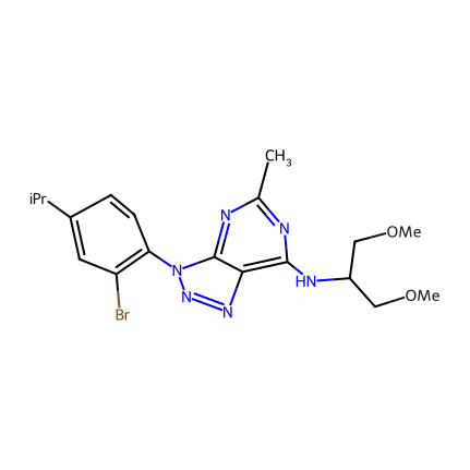 COCC(COC)Nc1nc(C)nc2c1nnn2-c1ccc(C(C)C)cc1Br